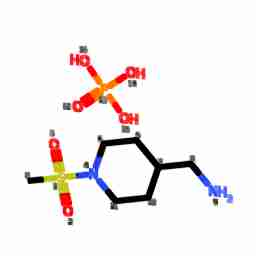 CS(=O)(=O)N1CCC(CN)CC1.O=P(O)(O)O